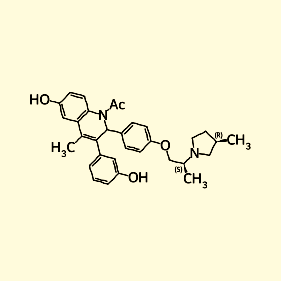 CC(=O)N1c2ccc(O)cc2C(C)=C(c2cccc(O)c2)C1c1ccc(OC[C@H](C)N2CC[C@@H](C)C2)cc1